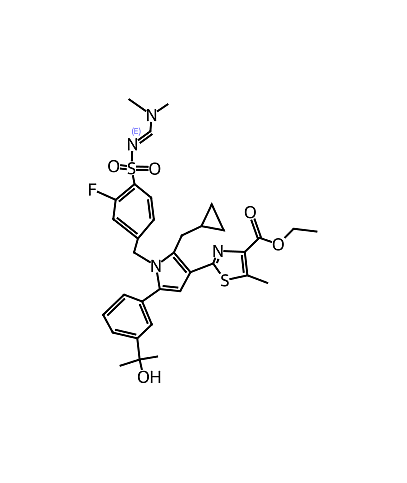 CCOC(=O)c1nc(-c2cc(-c3cccc(C(C)(C)O)c3)n(Cc3ccc(S(=O)(=O)/N=C/N(C)C)c(F)c3)c2CC2CC2)sc1C